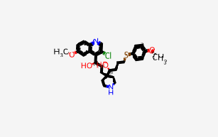 COc1ccc(SCCC[C@H](O)C2(CC[C@@H](O)c3c(Cl)cnc4ccc(OC)cc34)CCNCC2)cc1